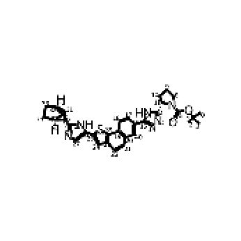 CC(C)(C)OC(=O)N1CCC[C@H]1c1ncc(-c2ccc3c(ccc4cc(-c5cnc([C@H]6C[C@@H]7CC[C@H]6C7)[nH]5)sc43)c2)[nH]1